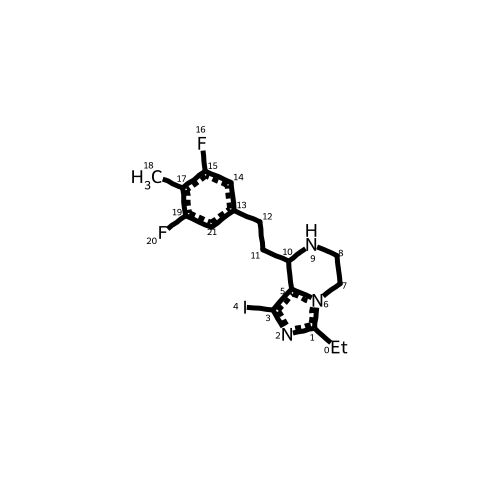 CCc1nc(I)c2n1CCNC2CCc1cc(F)c(C)c(F)c1